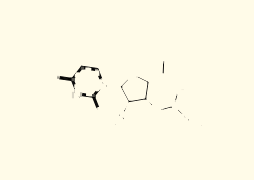 N[C@@H]1[C@H](OP(N)O)[C@@H](CO)O[C@H]1n1ccc(=O)[nH]c1=O